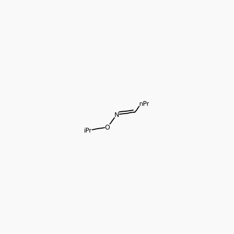 CCCC=NOC(C)C